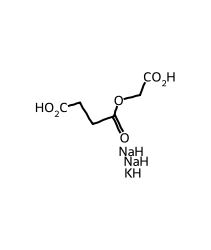 O=C(O)CCC(=O)OCC(=O)O.[KH].[NaH].[NaH]